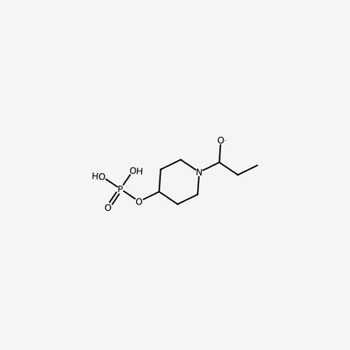 CCC([O])N1CCC(OP(=O)(O)O)CC1